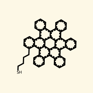 SCCCCc1cccc2c1c1c3ccccc3c3c4ccccc4c4c5ccccc5c5c6ccccc6c6c7ccccc7c2c2c6c5c4c3c12